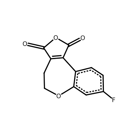 O=C1OC(=O)C2=C1CCOc1cc(F)ccc12